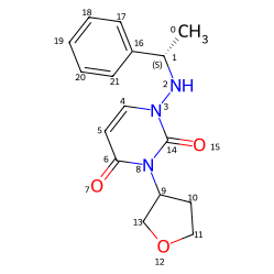 C[C@H](Nn1ccc(=O)n(C2CCOC2)c1=O)c1ccccc1